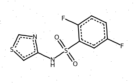 O=S(=O)(Nc1cscn1)c1cc(F)ccc1F